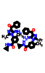 CCCc1nc(C(=O)c2ccccc2)c(N)n1-c1cc(C(=O)NC2CC2)ccc1C.Cc1ccc(C(=O)NC2CC2)cc1-n1c(C)nc(C(=O)c2ccccc2)c1N